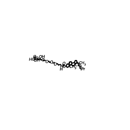 CC(C)CCC[C@H](C)C1CCC2C3CC=C4C[C@H](OC(=O)NCCCOCCOCCOCCOCC(O)COP(=O)(O)O)CC[C@@]4(C)C3CC[C@]21C